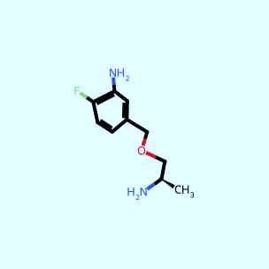 C[C@@H](N)COCc1ccc(F)c(N)c1